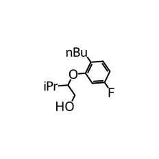 CCCCc1ccc(F)cc1OC(CO)C(C)C